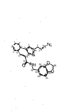 [N-]=[N+]=NCn1cc(-c2ccncc2/C=C/C(=O)NCc2ccc3c(c2)OCO3)cn1